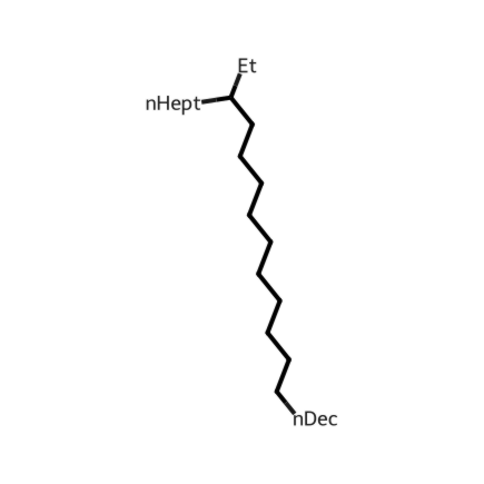 [CH2]CCCCCCCCCCCCCCCCCCCC(CC)CCCCCC[CH2]